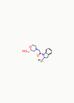 CC1Cc2ccccc2N1C(=O)CN1CCO[C@@H](CO)C1